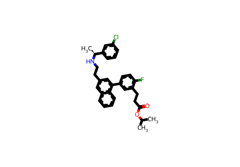 CC(C)OC(=O)CCc1cc(-c2cc(CCN[C@H](C)c3cccc(Cl)c3)cc3ccccc23)ccc1F